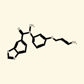 CC=CCOc1cccc(N(C)C(=O)c2ccc3ncsc3c2)c1